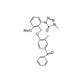 COc1cccc(-n2nnn(C)c2=O)c1COc1ccc(C(=O)c2ccccc2)cc1C